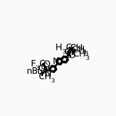 CCCC[C@H](C)c1nc2ccc(-c3cc4ccc(B5OC(C)(C)C(C)(C)O5)cc4cn3)cc2n1S(=O)(=O)C(F)(F)F